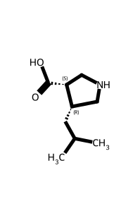 CC(C)C[C@H]1CNC[C@H]1C(=O)O